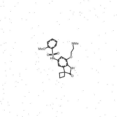 CNCCOc1cc(NS(=O)(=O)c2ccccc2OC)cc2c1NC(=O)C21CCC1